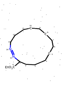 CCOC(=O)C1CCCCCCCCCCCCN=N1